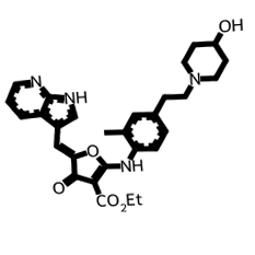 CCOC(=O)C1=C(Nc2ccc(CCN3CCC(O)CC3)cc2C)OC(=Cc2c[nH]c3ncccc23)C1=O